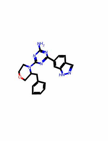 Nc1nc(-c2ccc3cn[nH]c3c2)nc(N2CCOCC2Cc2ccccc2)n1